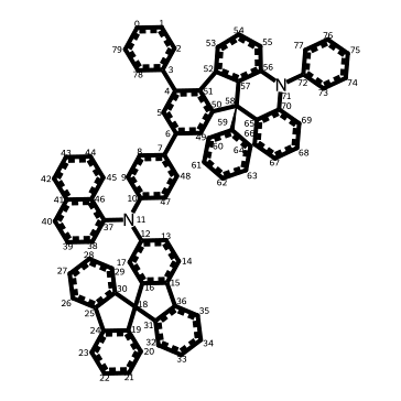 c1ccc(-c2cc(-c3ccc(N(c4ccc5c(c4)C4(c6ccccc6-c6ccccc64)c4ccccc4-5)c4cccc5ccccc45)cc3)cc3c2-c2cccc4c2[C@]3(c2ccccc2)c2ccccc2N4c2ccccc2)cc1